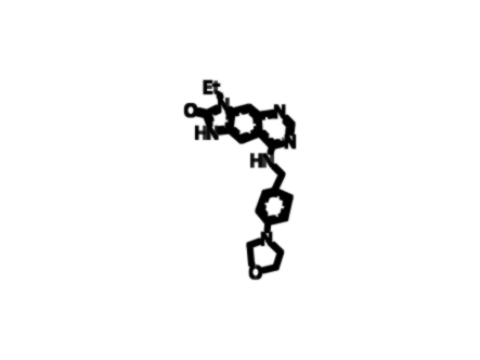 CCn1c(=O)[nH]c2cc3c(NCc4ccc(N5CCOCC5)cc4)ncnc3cc21